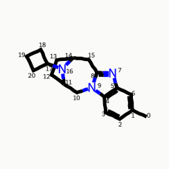 Cc1ccc2c(c1)nc1n2CC2CCC(C1)N2C1CCC1